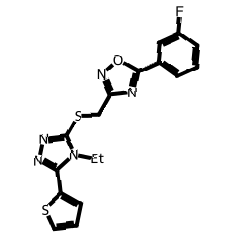 CCn1c(SCc2noc(-c3cccc(F)c3)n2)nnc1-c1cccs1